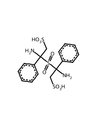 NC(CS(=O)(=O)O)(c1ccccc1)S(=O)(=O)C(N)(CS(=O)(=O)O)c1ccccc1